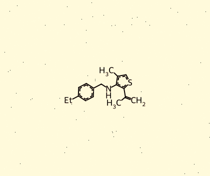 C=C(C)c1scc(C)c1NCc1ccc(CC)cc1